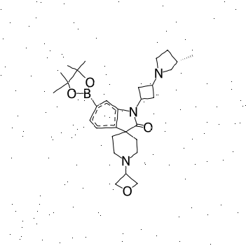 C[C@H]1CCN(C2CC(N3C(=O)C4(CCN(C5COC5)CC4)c4ccc(B5OC(C)(C)C(C)(C)O5)cc43)C2)C1